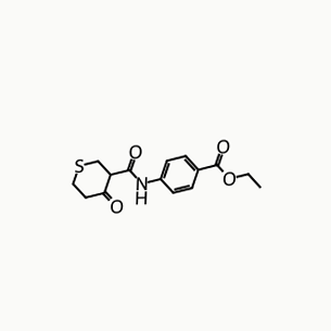 CCOC(=O)c1ccc(NC(=O)C2CSCCC2=O)cc1